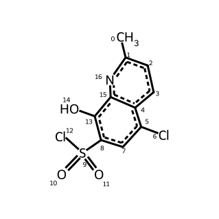 Cc1ccc2c(Cl)cc(S(=O)(=O)Cl)c(O)c2n1